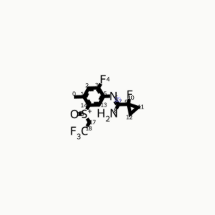 Cc1cc(F)c(/N=C(\N)C2(F)CC2)cc1[S+]([O-])CC(F)(F)F